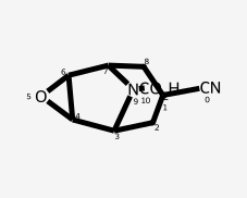 N#CC1CC2C3OC3C(C1)N2C(=O)O